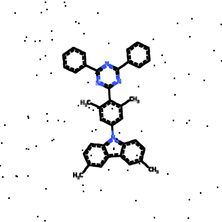 Cc1ccc2c(c1)c1cc(C)ccc1n2-c1cc(C)c(-c2nc(-c3ccccc3)nc(-c3ccccc3)n2)c(C)c1